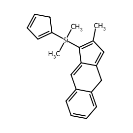 CC1=C([Si](C)(C)C2=CC=CC2)C2=Cc3ccccc3CC2=C1